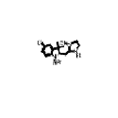 CCC[N+]1=C(C=C2N(CC)CCN2CC)C(C)(C)c2cc(Cl)ccc21